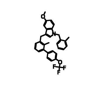 COc1ccc2c(c1)c(Cc1cccc(-c3ccc(OC(F)(F)F)cc3)c1C)cn2Cc1ccccc1C